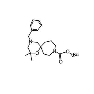 CC(C)(C)OC(=O)N1CCCC2(CC1)CN(Cc1ccccc1)CC(C)(C)O2